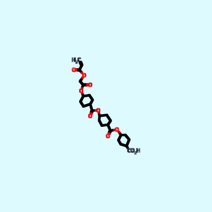 C=CC(=O)OCC(=O)OC1CCC(C(=O)OC2CCC(C(=O)OC3CCC(C(=O)O)CC3)CC2)CC1